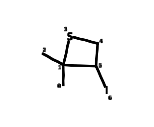 CC1(C)SCC1I